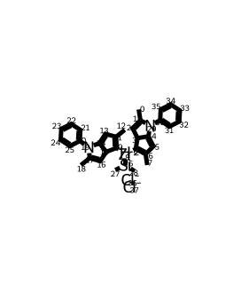 CC1=CC2C(=CC(C)=[C]2[Zr+2]([C]2=C(C)C=C3C2C=C(C)N3c2ccccc2)[SiH](C)C)N1c1ccccc1.[Cl-].[Cl-]